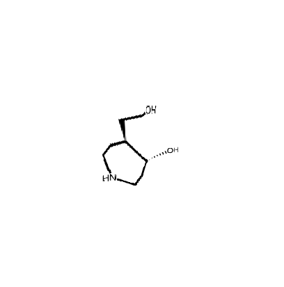 OC[C@@H]1CNC[C@H]1O